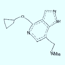 CNCc1cnc(OC2CC2)c2cn[nH]c12